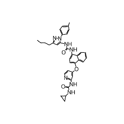 CCCCc1cc(NC(=O)Nc2ccc(Oc3ccnc(NC(=O)NC4CC4)c3)c3ccccc23)n(-c2ccc(C)cc2)n1